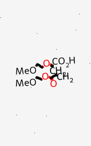 C=C(OCCOC)C(=O)O.C=CC(=O)OCCOC